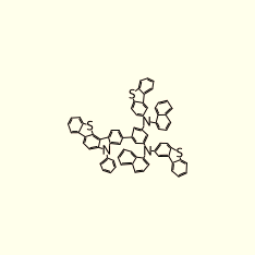 c1ccc(-n2c3cc(-c4cc(N(c5ccc6sc7ccccc7c6c5)c5cccc6ccccc56)cc(N(c5ccc6sc7ccccc7c6c5)c5cccc6ccccc56)c4)ccc3c3c4sc5ccccc5c4ccc32)cc1